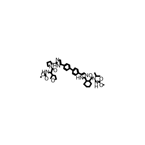 COC(=O)NC(C(=O)N1CCC[C@H]1c1ncc(-c2ccc(-c3ccc(-c4cnc(C5CCCCC5C(=O)N(NC(=O)OC)C(C)C)[nH]4)cc3)cc2)[nH]1)C1CCOC1